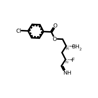 B[C@@H](COC(=O)c1ccc(Cl)cc1)C[C@H](F)C=N